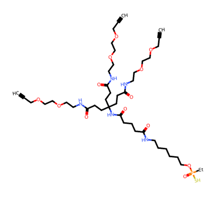 C#CCOCCOCCNC(=O)CCC(CCC(=O)NCCOCCOCC#C)(CCC(=O)NCCOCCOCC#C)NC(=O)CCCC(=O)NCCCCCCOP(=O)(S)CC